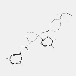 CC(C)(C(N)=O)C1CCN(CCC2(c3ccc(Cl)c(Cl)c3)CCCN(C(=O)Cc3cc(C(F)(F)F)cc(C(F)(F)F)c3)C2)CC1